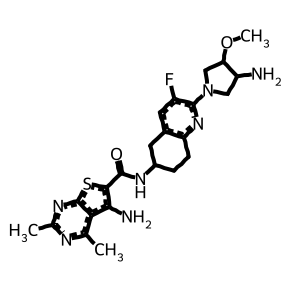 COC1CN(c2nc3c(cc2F)CC(NC(=O)c2sc4nc(C)nc(C)c4c2N)CC3)CC1N